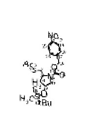 CC(=O)SC[C@@H]1C[C@H](O[Si](C)(C)C(C)(C)C)CN1C(=O)OCc1ccc([N+](=O)[O-])cc1